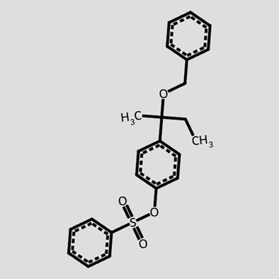 CCC(C)(OCc1ccccc1)c1ccc(OS(=O)(=O)c2ccccc2)cc1